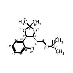 C[SiH](C)OCC[C@H]1OC(C)(C)O[C@@H]1c1ccccc1Cl